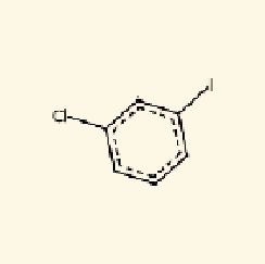 Clc1[c]c(I)ccc1